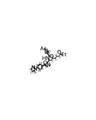 CCC(=O)CCCCCC(NC(=O)C1CN(C(C)=O)C1)c1ncc(-c2ccc(-n3cccn3)cc2)o1